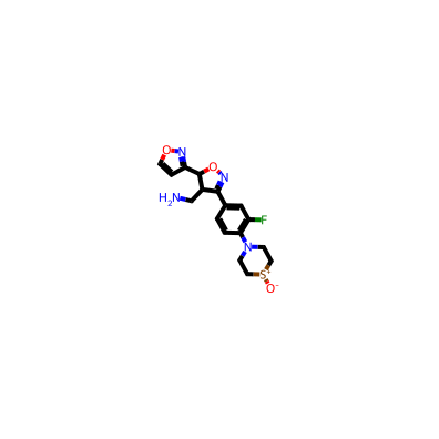 NCC1C(c2ccc(N3CC[S+]([O-])CC3)c(F)c2)=NOC1c1ccon1